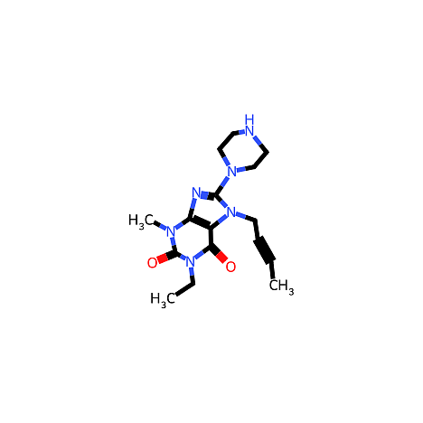 CC#CCn1c(N2CCNCC2)nc2c1c(=O)n(CC)c(=O)n2C